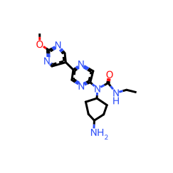 CCNC(=O)N(c1cnc(-c2cnc(OC)nc2)cn1)C1CCC(N)CC1